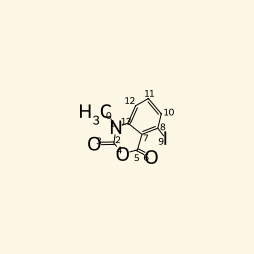 Cn1c(=O)oc(=O)c2c(I)cccc21